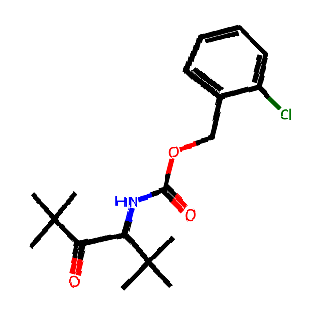 CC(C)(C)C(=O)C(NC(=O)OCc1ccccc1Cl)C(C)(C)C